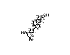 C[C@@H]1C(=CC=C2CCC[C@]3(C)[C@@H]([C@H](C)CCCO)CC[C@@H]23)CC(O)CC1O